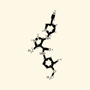 COc1ccc(NC(=O)c2c(C)nsc2Nc2ccc(C#N)cn2)cc1F